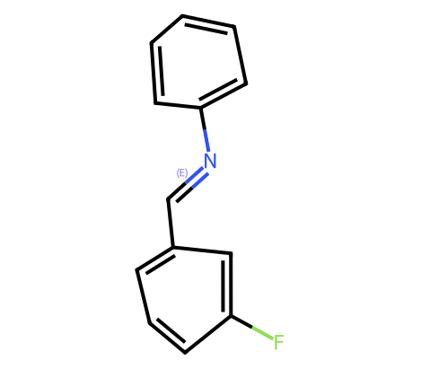 Fc1cccc(/C=N/c2ccccc2)c1